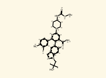 CC(C)(O)Cn1ncc2cc(-c3c(C(N)=O)cc(N4CCC(NC(=O)OC(C)(C)C)CC4)nc3-c3ccc(C#N)c(F)c3)c(F)cc21